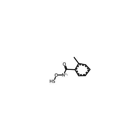 Cc1ccccc1C(=O)[N+]OS